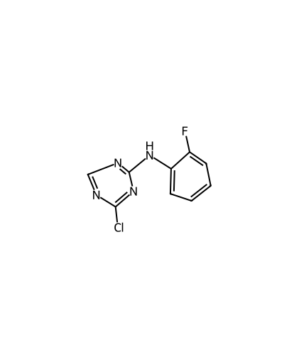 Fc1ccccc1Nc1ncnc(Cl)n1